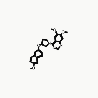 COc1ccc2cc(OC3CCN(c4ncnc5cc(OC)c(OC)cc45)C3)ccc2c1